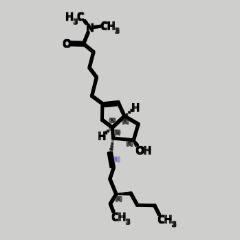 CCCC[C@@H](CC)C/C=C/[C@@H]1[C@H]2CC(CCCCC(=O)N(C)C)=C[C@H]2C[C@H]1O